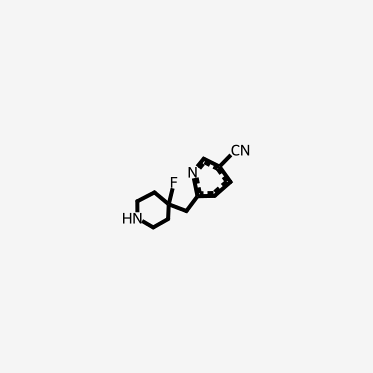 N#Cc1ccc(CC2(F)CCNCC2)nc1